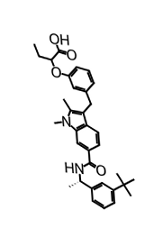 CCC(Oc1cccc(Cc2c(C)n(C)c3cc(C(=O)N[C@@H](C)c4cccc(C(C)(C)C)c4)ccc23)c1)C(=O)O